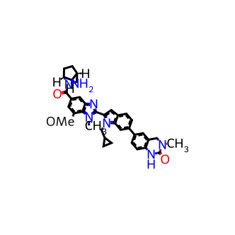 COc1cc(C(=O)N2C[C@H]3CC[C@@H]2[C@@H]3N)cc2nc(-c3cc4ccc(-c5ccc6c(c5)CN(C)C(=O)N6)cc4n3CC3CC3)n(C)c12